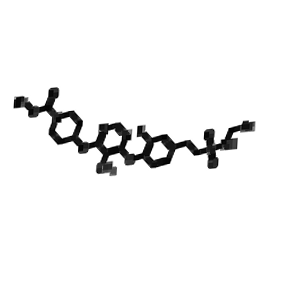 CC(=O)CNS(=O)(=O)CCc1ccc(Oc2ncnc(OC3CCN(C(=O)OC(C)C)CC3)c2C)c(F)c1